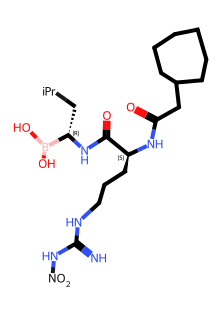 CC(C)C[C@H](NC(=O)[C@H](CCCNC(=N)N[N+](=O)[O-])NC(=O)CC1CCCCCC1)B(O)O